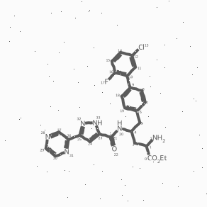 CCOC(=O)C(N)CC(Cc1ccc(-c2cc(Cl)ccc2F)cc1)NC(=O)c1cc(-c2cnccn2)n[nH]1